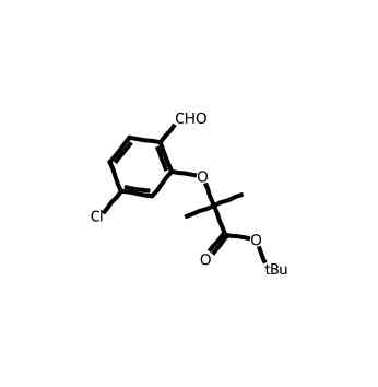 CC(C)(C)OC(=O)C(C)(C)Oc1cc(Cl)ccc1C=O